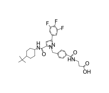 CC(C)(C)C1CCC(NC(=O)c2cc(-c3cc(F)c(F)c(F)c3)nn2Cc2ccc(C(=O)NCCC(=O)O)cc2)CC1